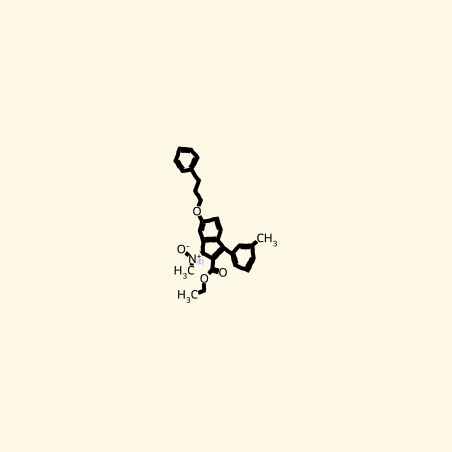 CCOC(=O)C1=C(c2cccc(C)c2)c2ccc(OCCCc3ccccc3)cc2/C1=[N+](/C)[O-]